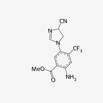 COC(=O)c1cc(N2C=NC(C#N)C2)c(C(F)(F)F)cc1N